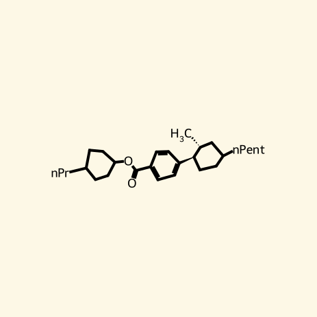 CCCCCC1CC[C@@H](c2ccc(C(=O)OC3CCC(CCC)CC3)cc2)[C@H](C)C1